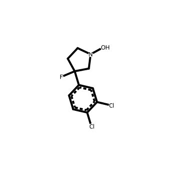 ON1CCC(F)(c2ccc(Cl)c(Cl)c2)C1